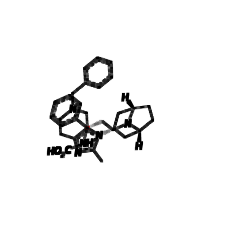 Cc1nc2c(n1[C@H]1C[C@H]3CC[C@@H](C1)N3CC[C@H](NC(=O)O)c1ccccc1)CN(Cc1ccccc1)CC2